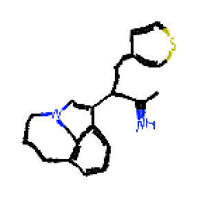 CC(=N)C(Cc1ccsc1)c1cn2c3c(cccc13)CCC2